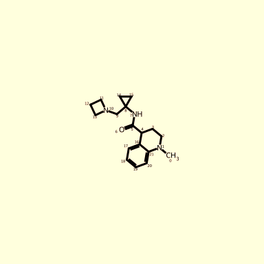 CN1CCC(C(=O)NC2(CN3CCC3)CC2)c2ccccc21